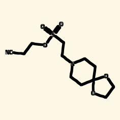 N#CCCOS(=O)(=O)CCN1CCC2(CC1)OCCO2